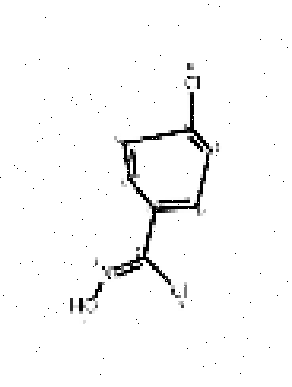 O/N=C(\Cl)c1ccc(Cl)cc1